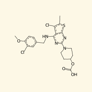 COc1ccc(CNc2nc(N3CCC(OC(=O)O)CC3)nc3sc(C)c(Cl)c23)cc1Cl